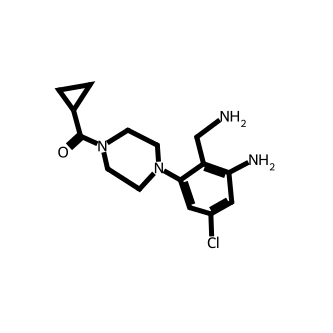 NCc1c(N)cc(Cl)cc1N1CCN(C(=O)C2CC2)CC1